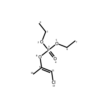 CCOP(=O)(OCC)OC(C)=CCl